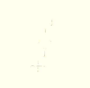 COC(=O)CC1CCN(C(=O)OC(C)(C)C)CC1F